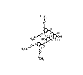 COCCOCOc1cc(OCOCCOC)cc(C(=O)OCC2OC(OC3OC(COC(=O)c4ccc(OCOCCOC)cc4OCOCCOC)C(O)C(O)C3O)C(O)C(O)C2O)c1